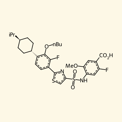 CCCCOc1c(F)c(-c2nc(S(=O)(=O)Nc3cc(F)c(C(=O)O)cc3OC)cs2)ccc1[C@H]1CC[C@H](C(C)C)CC1